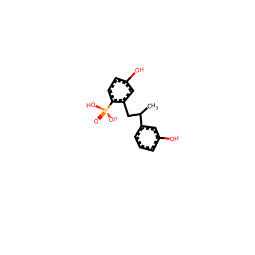 CC(Cc1cc(O)ccc1P(=O)(O)O)c1cccc(O)c1